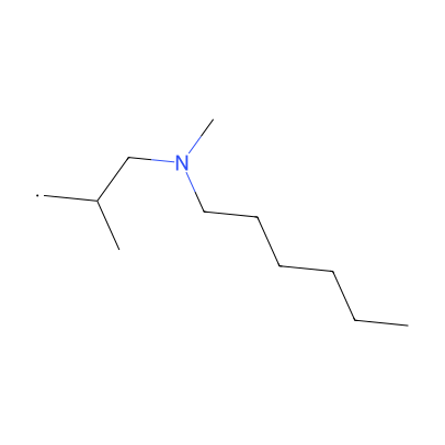 [CH2]C(C)CN(C)CCCCCC